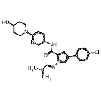 CN(C)/C=N/n1cc(-c2ccc(Cl)cc2)cc1C(=O)Nc1ccc(N2CCC(O)CC2)nc1